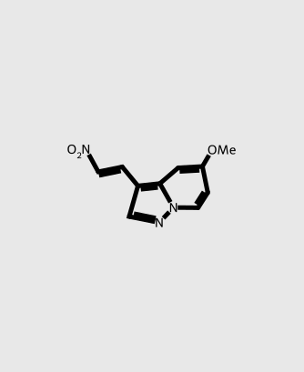 COc1ccn2ncc(C=C[N+](=O)[O-])c2c1